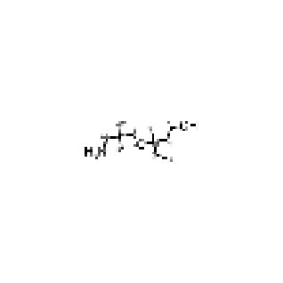 CCC(C)(CCO)OCC(C)(C)CN